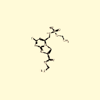 CCOC(=O)c1cn2c(CNP(=O)(O)OCC)cc(Cl)nc2n1